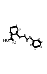 O=C(O)c1cccnc1CCCSc1ccccc1